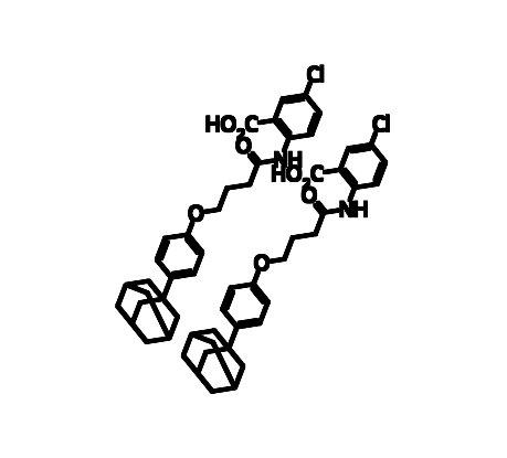 O=C(CCCOc1ccc(C23CC4CC(CC(C4)C2)C3)cc1)Nc1ccc(Cl)cc1C(=O)O.O=C(CCCOc1ccc(C23CC4CC(CC(C4)C2)C3)cc1)Nc1ccc(Cl)cc1C(=O)O